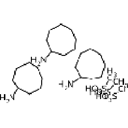 CS(=O)(=O)O.CS(=O)(=O)O.CS(=O)(=O)O.NC1CCCCCCC1.NC1CCCCCCC1.NC1CCCCCCC1